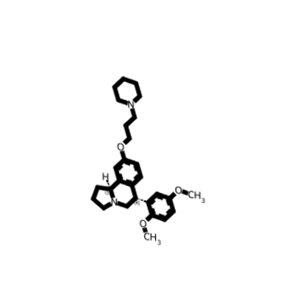 COc1ccc(OC)c([C@@H]2CN3CCC[C@H]3c3cc(OCCCN4CCCCC4)ccc32)c1